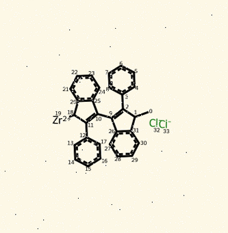 CC1C(c2ccccc2)=C(C2=C(c3ccccc3)[CH]([Zr+2])c3ccccc32)c2ccccc21.[Cl-].[Cl-]